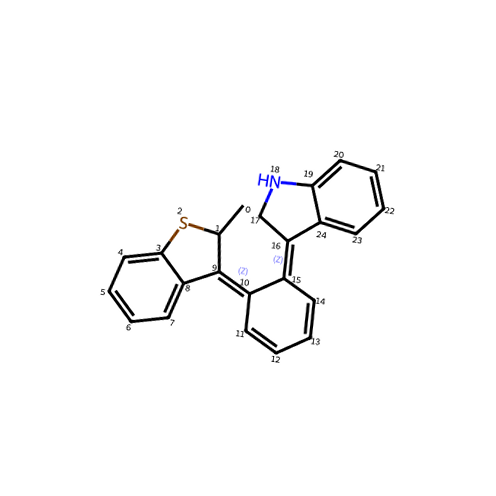 CC1Sc2ccccc2/C1=c1\cccc\c1=C1\CNc2ccccc21